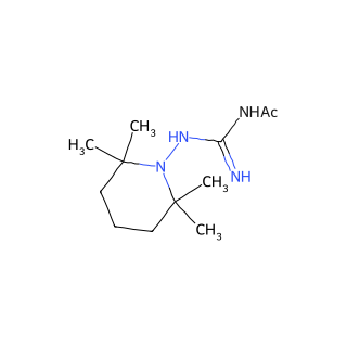 CC(=O)NC(=N)NN1C(C)(C)CCCC1(C)C